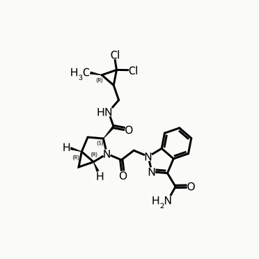 C[C@@H]1C(CNC(=O)[C@@H]2C[C@H]3C[C@H]3N2C(=O)Cn2nc(C(N)=O)c3ccccc32)C1(Cl)Cl